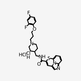 Cl.Cl.O=C(NCC1CCN(CCCOc2ccc(F)cc2F)CC1)C1=Cc2cnc3cccc(n23)S1